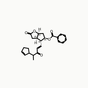 CC(C(=O)C=C[C@@H]1[C@H]2CC(=O)O[C@H]2C[C@H]1OC(=O)c1ccccc1)C1C=CCC1